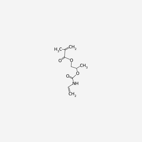 C=CNC(=O)OC(C)COC(=O)C(=C)C